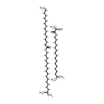 CC(C)CCCCCCCCCCCCCCCOC(=O)C(C)O.CCCCCCCCCCCCCCCC(=O)OCCCCCCCCCCCCCCCC(C)C